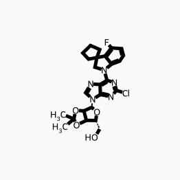 CC1(C)OC2C(O1)[C@@H](CO)O[C@H]2n1cnc2c(N3CC4(CCCC4)c4c(F)cccc43)nc(Cl)nc21